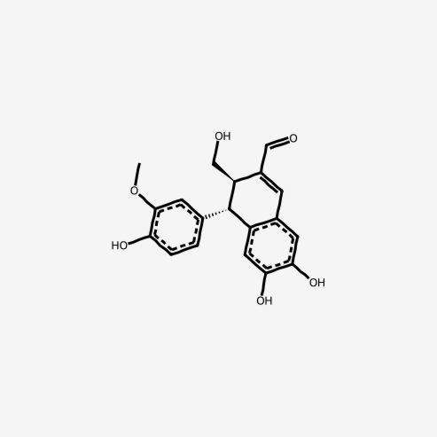 COc1cc([C@H]2c3cc(O)c(O)cc3C=C(C=O)[C@@H]2CO)ccc1O